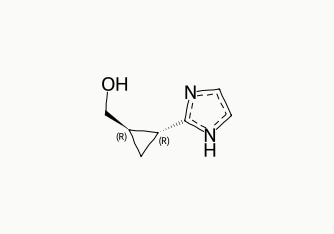 OC[C@@H]1C[C@H]1c1ncc[nH]1